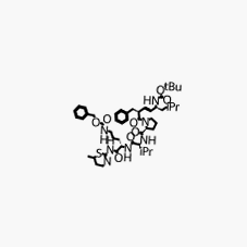 CC(C)C[C@@H](/C=C/[C@H](Cc1ccccc1)C(=O)N1CCC[C@H]1C(=O)N[C@H](C(=O)N[C@@H](CCCNC(=O)OCc1ccccc1)C(=O)NC1=NCCC(C)S1)C(C)C)NC(=O)OC(C)(C)C